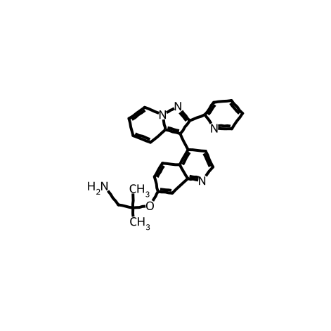 CC(C)(CN)Oc1ccc2c(-c3c(-c4ccccn4)nn4ccccc34)ccnc2c1